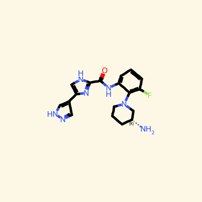 N[C@@H]1CCCN(c2c(F)cccc2NC(=O)c2nc(-c3cn[nH]c3)c[nH]2)C1